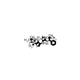 CN(C(C)(C)C)S(=O)(=O)c1scc(Nc2nsnc2N[C@@H](c2ccccc2)C(C)(C)C)c1O